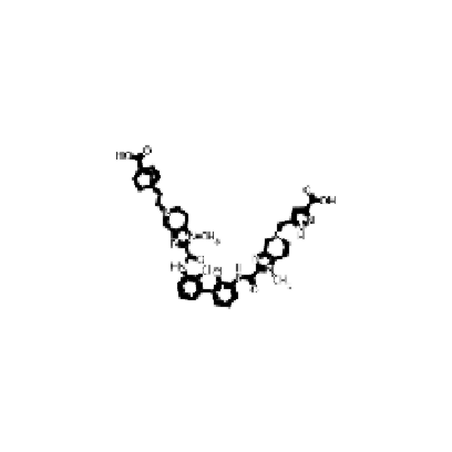 Cn1c(C(=O)Nc2cccc(-c3cccc(NC(=O)c4nc5c(n4C)CCN(Cc4cc(C(=O)O)n[nH]4)C5)c3Cl)c2Cl)nc2c1CCN(CCC13CCC(C(=O)O)(CC1)C3)C2